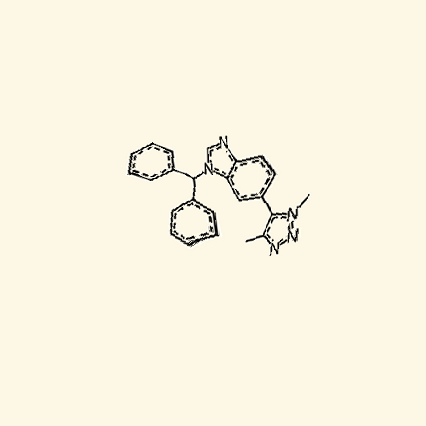 Cc1nnn(C)c1-c1ccc2ncn(C(c3ccccc3)c3ccccc3)c2c1